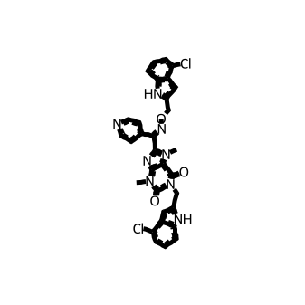 Cn1c(/C(=N/OCc2cc3c(Cl)cccc3[nH]2)c2ccncc2)nc2c1c(=O)n(Cc1cc3c(Cl)cccc3[nH]1)c(=O)n2C